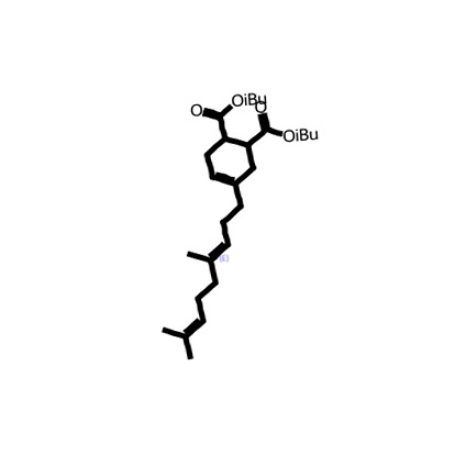 CC(C)=CCC/C(C)=C/CCC1=CCC(C(=O)OCC(C)C)C(C(=O)OCC(C)C)C1